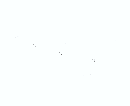 CCOC(=O)C1=CN(C(=O)CNC(C)C(C)C)CCc2c1[nH]c1ccccc21